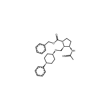 CC(=N)N[C@@H]1CCN(C(=O)OCc2ccccc2)[C@@H]1CO[C@H]1CC[C@@H](c2ccccc2)CC1